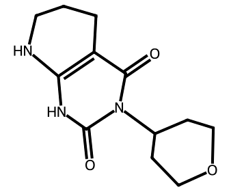 O=c1[nH]c2c(c(=O)n1C1CCOCC1)CCCN2